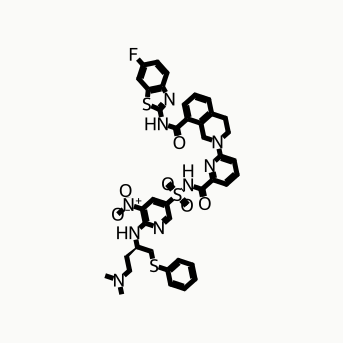 CN(C)CC[C@H](CSc1ccccc1)Nc1ncc(S(=O)(=O)NC(=O)c2cccc(N3CCc4cccc(C(=O)Nc5nc6ccc(F)cc6s5)c4C3)n2)cc1[N+](=O)[O-]